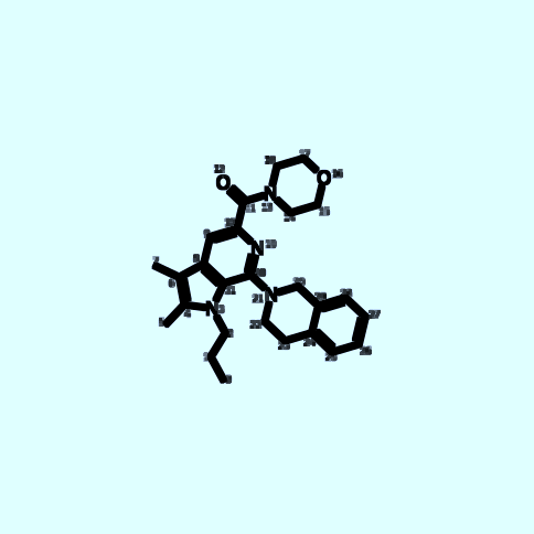 CCCn1c(C)c(C)c2cc(C(=O)N3CCOCC3)nc(N3CCc4ccccc4C3)c21